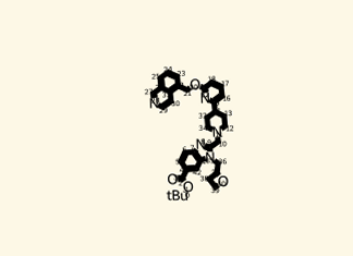 CC(C)(C)OC(=O)c1ccc2nc(CN3CCC(c4cccc(OCc5cccc6cnccc56)n4)CC3)n(CC3CCO3)c2c1